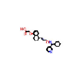 O=C(O)COc1cccc2c1CCCC2/C=C/CO/N=C(\c1cccnc1)C1CCCCC1